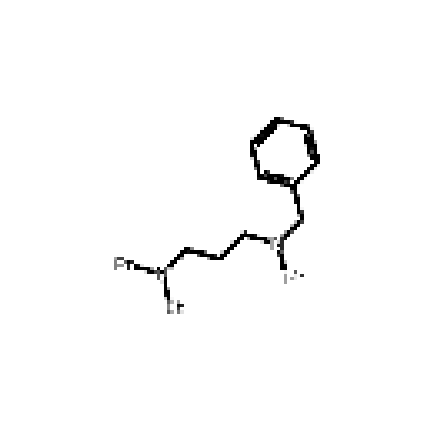 CCN(CC)CCCN(Cc1ccccc1)C(C)C